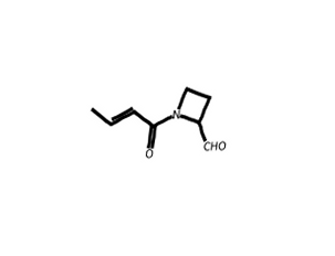 CC=CC(=O)N1CCC1C=O